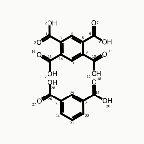 O=C(O)c1cc(C(=O)O)c(C(=O)O)cc1C(=O)O.O=C(O)c1cccc(C(=O)O)c1